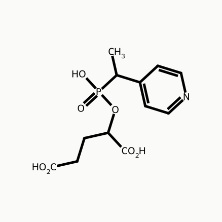 CC(c1ccncc1)P(=O)(O)OC(CCC(=O)O)C(=O)O